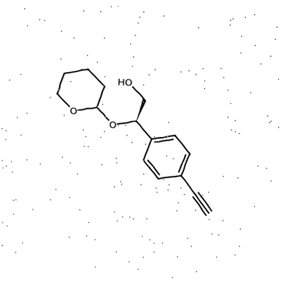 C#Cc1ccc([C@H](CO)OC2CCCCO2)cc1